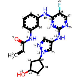 C=CC(=O)Nc1cccc(Nc2nc(Nc3cnn(C4CCC(O)C4)c3)ncc2F)c1